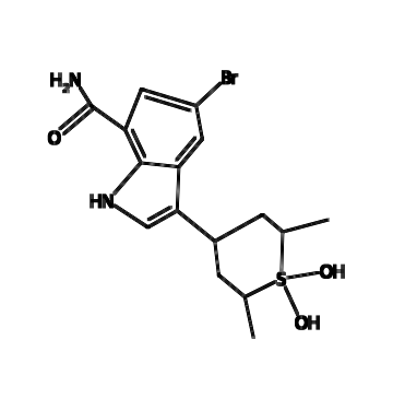 CC1CC(c2c[nH]c3c(C(N)=O)cc(Br)cc23)CC(C)S1(O)O